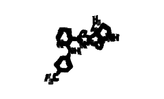 C[C@@]1(c2nnc(-c3cccnc3Nc3ccc(C(F)(F)F)cc3)o2)CCNC1=O